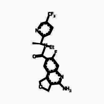 CCN(C(=O)c1cc2c3c(c(N)nc2cc1F)COC3)[C@@H](C)c1ccc(C(F)(F)F)cn1